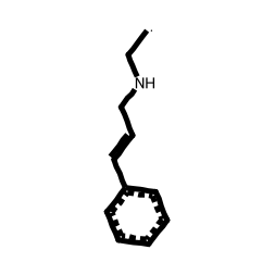 [CH2]CNCC=Cc1ccccc1